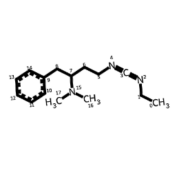 CCN=C=NCCC(Cc1ccccc1)N(C)C